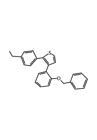 CCc1ccc(-c2sccc2-c2ccccc2OCc2ccccc2)cc1